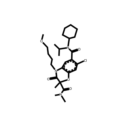 COCCCCN1C(=O)C(C)(C(=O)N(C)C)Oc2cc(Cl)c(C(=O)N(C(C)C)C3CCCCC3)cc21